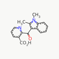 Cc1c(C(=O)c2ncccc2C(=O)O)c2ccccc2n1C